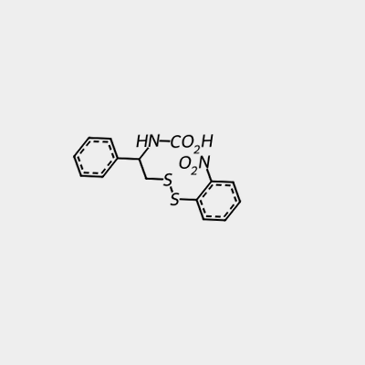 O=C(O)NC(CSSc1ccccc1[N+](=O)[O-])c1ccccc1